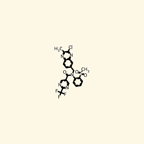 Cc1nc2ccc(CN(C(=O)c3cnc(C(F)(F)F)nc3)c3ccccc3S(C)(=O)=O)cc2nc1Cl